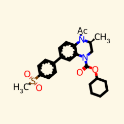 CC(=O)N1c2ccc(-c3ccc(S(C)(=O)=O)cc3)cc2N(C(=O)OC2CCCCC2)C[C@@H]1C